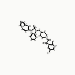 Cc1ncc(Cl)cc1C(=O)N[C@H]1CC[C@H](Cn2c(=O)n(-c3ccn4cncc4c3)c3ccccc32)CC1